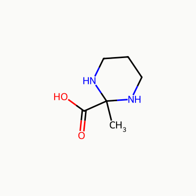 CC1(C(=O)O)NCCCN1